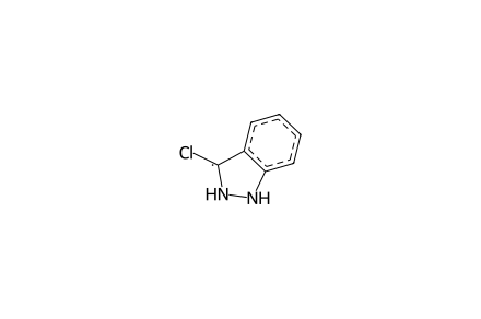 Cl[C]1NNc2ccccc21